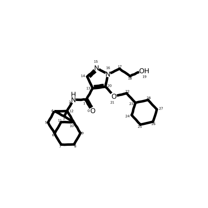 O=C(NC1C2CC3CCCC1(C3)C2)c1cnn(CCO)c1OCC1CCCCC1